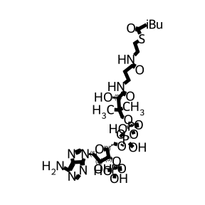 CCC(C)C(=O)SCCNC(=O)CCNC(=O)[C@H](O)C(C)(C)COP(=O)(O)OP(=O)(O)OC[C@H]1O[C@H](n2cnc3c(N)ncnc32)[C@H](O)[C@@H]1OP(=O)(O)O